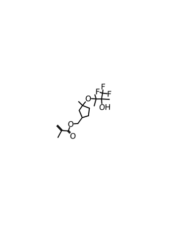 C=C(C)C(=O)OCC1CCC(C)(OC(C)(C)C(C)(O)C(F)(F)F)C1